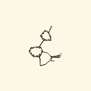 O=C1Cc2c(cccc2-c2ccc(F)cc2)CCN1